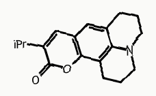 CC(C)c1cc2cc3c4c(c2oc1=O)CCCN4CCC3